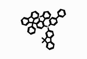 CC1(C)c2ccccc2-c2ccc(N(c3ccc(-c4ccccc4)cc3)c3ccc(C4(c5ccccc5)c5ccccc5-c5ccccc54)c4oc5ccccc5c34)cc21